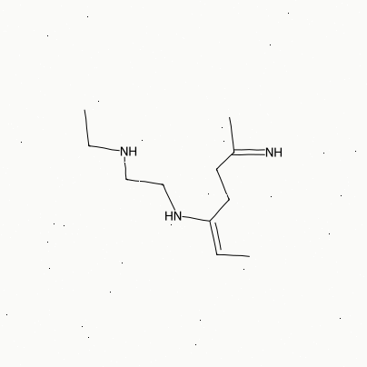 C/C=C(\CCC(C)=N)NCCNCC